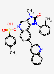 Cc1ccc(S(=O)(=O)O)cc1.Cc1ccccc1-n1c(=O)n(C)c2cnc3ccc(-c4cnc5ccccc5c4)cc3c21